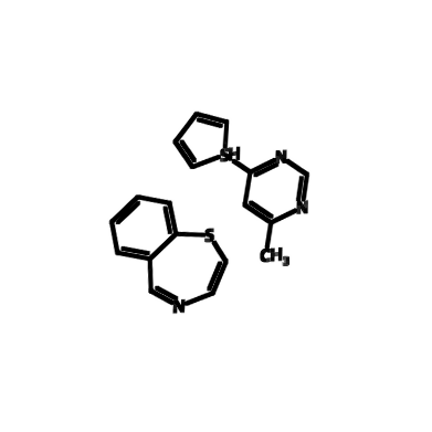 C1=CSc2ccccc2C=N1.Cc1cc([SH]2C=CC=C2)ncn1